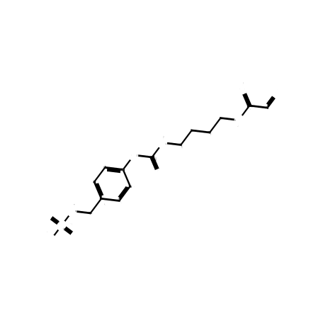 C=CC(=O)OCCCCOC(=O)Oc1ccc(COS(C)(=O)=O)cc1